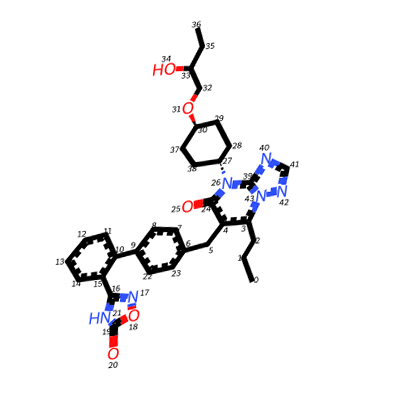 CCCc1c(Cc2ccc(-c3ccccc3-c3noc(=O)[nH]3)cc2)c(=O)n([C@H]2CC[C@H](OCC(O)CC)CC2)c2ncnn12